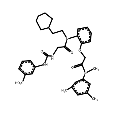 Cc1cc(C)cc(N(C)C(=O)COc2ccccc2N(CCC2CCCCC2)C(=O)CNC(=O)Nc2cccc(C(=O)O)c2)c1